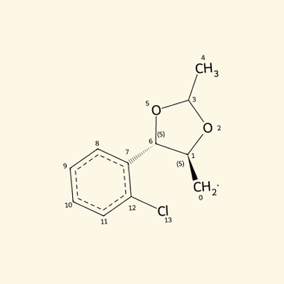 [CH2][C@@H]1OC(C)O[C@H]1c1ccccc1Cl